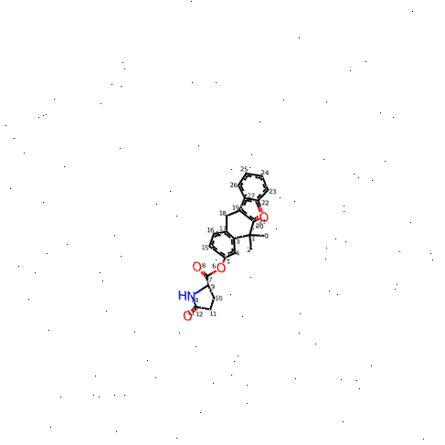 CC1(C)c2cc(OC(=O)[C@H]3CCC(=O)N3)ccc2Cc2c1oc1ccccc21